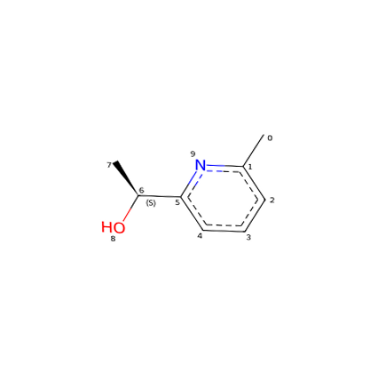 Cc1cccc([C@H](C)O)n1